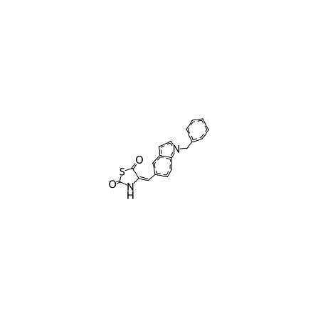 O=C1NC(=Cc2ccc3c(ccn3Cc3ccccc3)c2)C(=O)S1